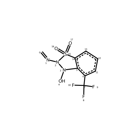 C=NN1N(O)c2c(C(F)(F)F)cccc2S1(=O)=O